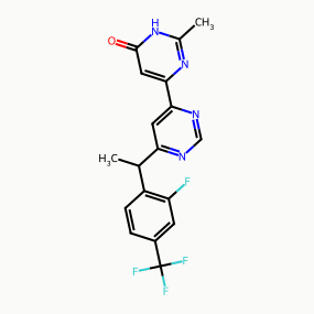 Cc1nc(-c2cc(C(C)c3ccc(C(F)(F)F)cc3F)ncn2)cc(=O)[nH]1